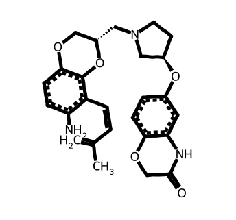 C=C(C)/C=C\c1c(N)ccc2c1O[C@@H](CN1CC[C@@H](Oc3ccc4c(c3)NC(=O)CO4)C1)CO2